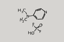 CN(C)c1ccncc1.O=P(O)(F)F